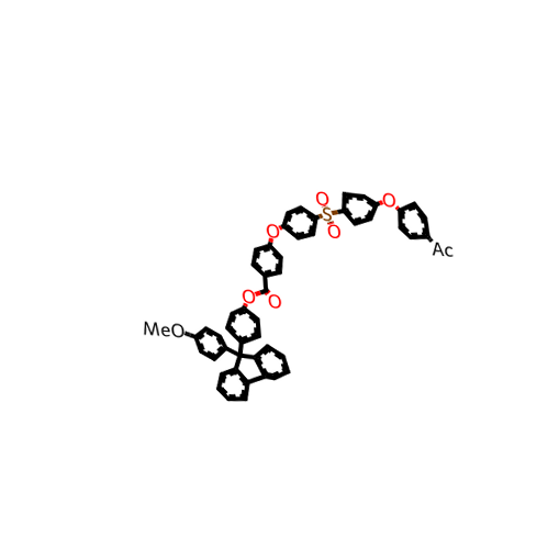 COc1ccc(C2(c3ccc(OC(=O)c4ccc(Oc5ccc(S(=O)(=O)c6ccc(Oc7ccc(C(C)=O)cc7)cc6)cc5)cc4)cc3)c3ccccc3-c3ccccc32)cc1